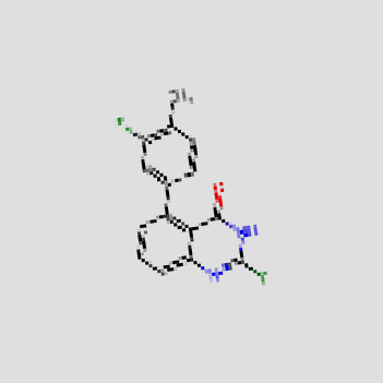 Cc1ccc(-c2cccc3nc(F)[nH]c(=O)c23)cc1F